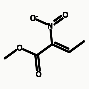 C/C=C(/C(=O)OC)[N+](=O)[O-]